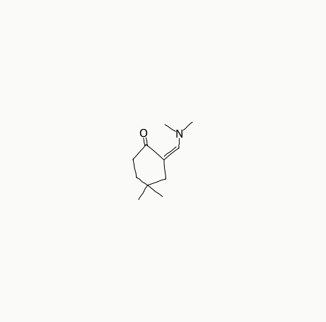 CN(C)/C=C1/CC(C)(C)CCC1=O